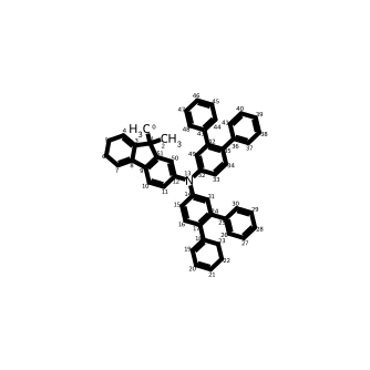 CC1(C)C2=CCCC=C2c2ccc(N(c3ccc(C4=CC=CCC4)c(-c4ccccc4)c3)c3ccc(-c4ccccc4)c(-c4ccccc4)c3)cc21